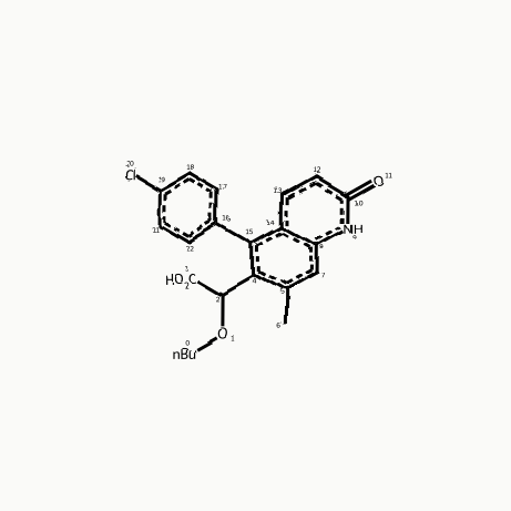 CCCCOC(C(=O)O)c1c(C)cc2[nH]c(=O)ccc2c1-c1ccc(Cl)cc1